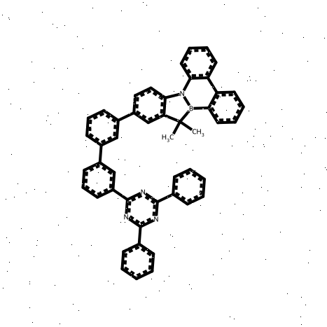 CC1(C)B2c3ccccc3-c3ccccc3N2c2ccc(-c3cccc(-c4cccc(-c5nc(-c6ccccc6)nc(-c6ccccc6)n5)c4)c3)cc21